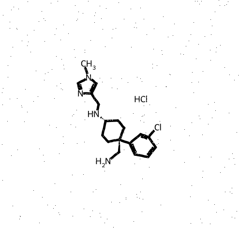 Cl.Cn1cnc(CN[C@H]2CC[C@@](CN)(c3cccc(Cl)c3)CC2)c1